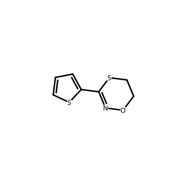 c1csc(C2=NOCCS2)c1